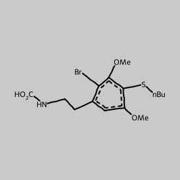 CCCCSc1c(OC)cc(CCNC(=O)O)c(Br)c1OC